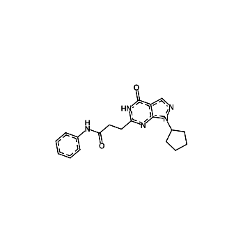 O=C(CCc1nc2c(cnn2C2CCCC2)c(=O)[nH]1)Nc1ccccc1